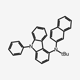 CC(C)(C)N(c1ccc2ccccc2c1)c1cccc2c1c1ccccc1n2-c1ccccc1